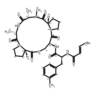 CCCC/C=C/C(=O)N[C@@H](Cc1cccc(C)c1)C(=O)N[C@H]1COC(=O)[C@@H]2CCCN2C(=O)[C@H](C)NC(=O)[C@H](C)N(C)C(=O)[C@@H]2CCCN2C1=O